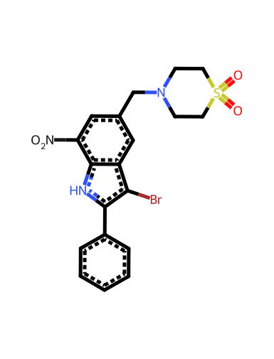 O=[N+]([O-])c1cc(CN2CCS(=O)(=O)CC2)cc2c(Br)c(-c3ccccc3)[nH]c12